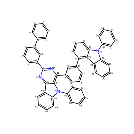 c1ccc(-c2cccc(-c3nc(-c4cccc(-c5cccc6c5c5ccccc5n6-c5ccccc5)c4)c4c(n3)c3ccccc3n4-c3ccccc3)c2)cc1